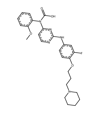 COc1ccccc1N(C(=O)O)c1ccnc(Nc2ccc(OCCCN3CCCCC3)c(F)c2)n1